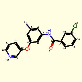 O=C(Nc1cc(I)cc(Oc2cccnc2)c1)c1cccc(Cl)c1